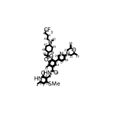 CSc1cc(C)[nH]c(=O)c1CNC(=O)c1cc(-c2ccc(N3CC(C)OC(C)C3)nc2)c2c(c1C)OC(C)(C1CCC(N(C)CCCC(F)(F)F)CC1)O2